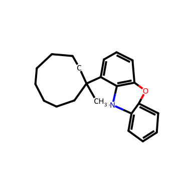 CC1(c2cccc3c2[N]c2ccccc2O3)CCCCCCCC1